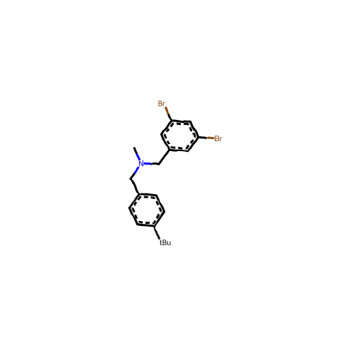 CN(Cc1ccc(C(C)(C)C)cc1)Cc1cc(Br)cc(Br)c1